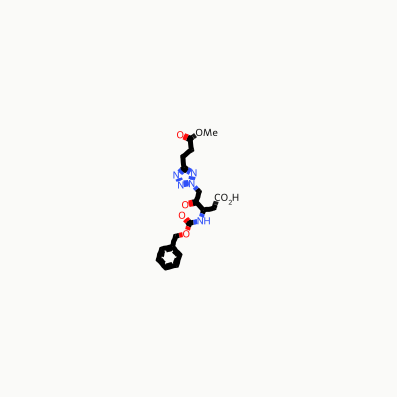 COC(=O)CCc1nnn(CC(=O)C(CC(=O)O)NC(=O)OCc2ccccc2)n1